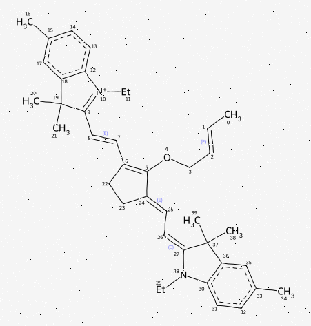 C/C=C/COC1=C(/C=C/C2=[N+](CC)c3ccc(C)cc3C2(C)C)CC/C1=C\C=C1\N(CC)c2ccc(C)cc2C1(C)C